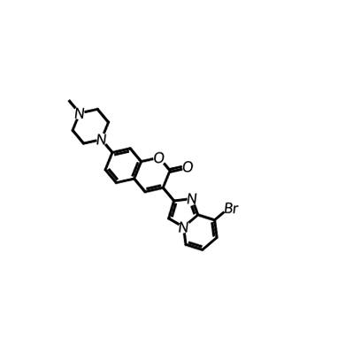 CN1CCN(c2ccc3cc(-c4cn5cccc(Br)c5n4)c(=O)oc3c2)CC1